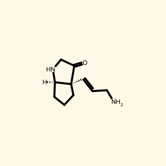 NCC=C[C@]12CCC[C@H]1NCC2=O